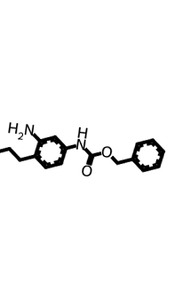 Nc1cc(NC(=O)OCc2ccccc2)ccc1CCCl